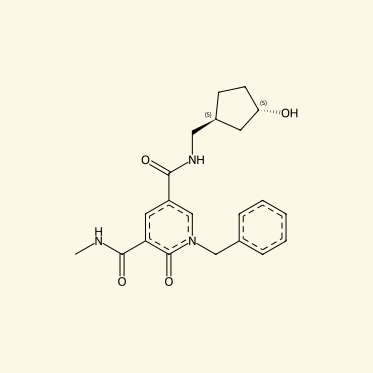 CNC(=O)c1cc(C(=O)NC[C@H]2CC[C@H](O)C2)cn(Cc2ccccc2)c1=O